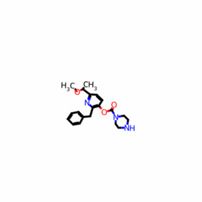 COC(C)c1ccc(OC(=O)N2CCNCC2)c(Cc2ccccc2)n1